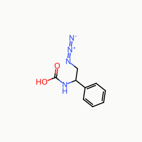 [N-]=[N+]=NCC(NC(=O)O)c1ccccc1